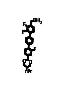 BCc1ccc(-c2ccc(-c3ccc(C4OCC(CCC)CO4)cc3F)cc2)c(F)c1F